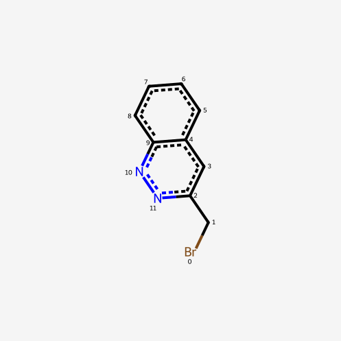 BrCc1cc2ccccc2nn1